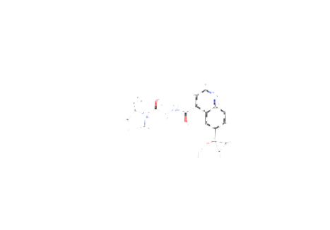 CCOC1(c2ccc3nccc(C(=O)NCC(=O)N4CSCC4C#N)c3c2)CC1